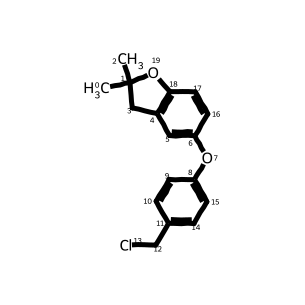 CC1(C)Cc2cc(Oc3ccc(CCl)cc3)ccc2O1